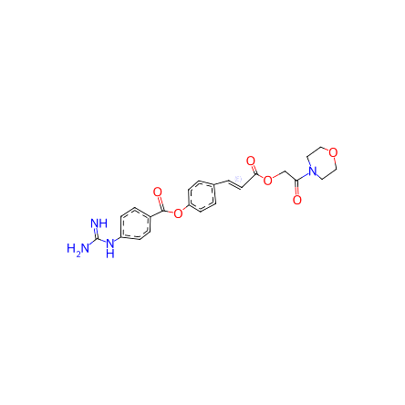 N=C(N)Nc1ccc(C(=O)Oc2ccc(/C=C/C(=O)OCC(=O)N3CCOCC3)cc2)cc1